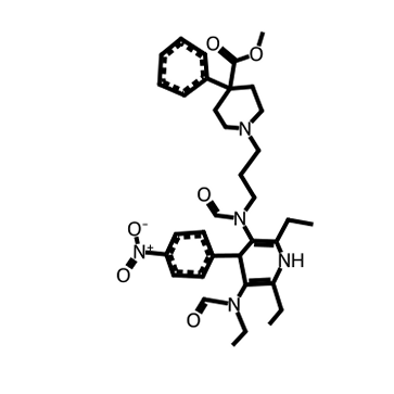 CCC1=C(N(C=O)CC)C(c2ccc([N+](=O)[O-])cc2)C(N(C=O)CCCN2CCC(C(=O)OC)(c3ccccc3)CC2)=C(CC)N1